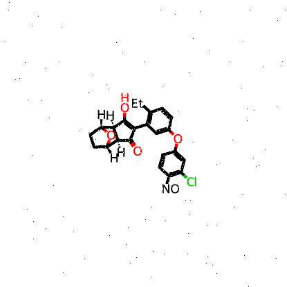 CCc1ccc(Oc2ccc(N=O)c(Cl)c2)cc1C1=C(O)[C@H]2[C@@H](C1=O)[C@@H]1CC[C@H]2O1